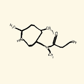 CC(C)CC(=O)N(C)C1CNC(C)CC1C